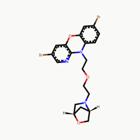 Brc1ccc2c(c1)Oc1cc(Br)cnc1N2CCOCCN1C[C@@H]2C[C@H]1CO2